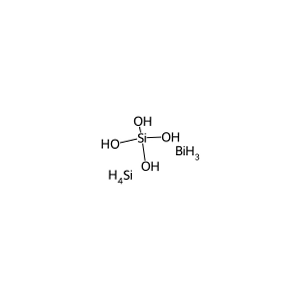 O[Si](O)(O)O.[BiH3].[SiH4]